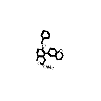 COC(=O)Cc1c(C)ccc(OCc2ccccc2)c1-c1ccc2c(c1)CCCO2